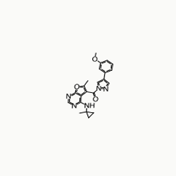 COc1cccc(-c2cnn(C(=O)c3c(C)oc4ncnc(NC5(C)CC5)c34)c2)c1